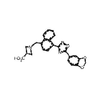 O=C(O)C1CN(Cc2ccc(-c3noc(-c4ccc5c(c4)OCO5)n3)c3ccccc23)C1